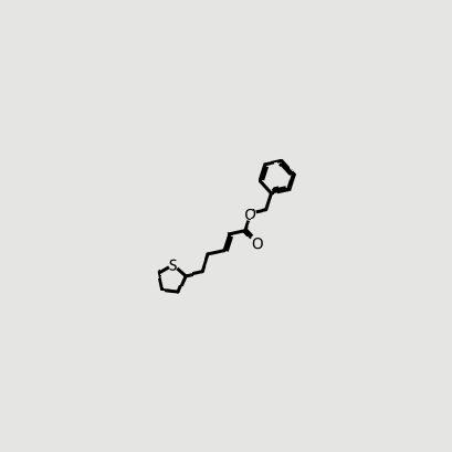 O=C(/C=C/CCC1CCCS1)OCc1ccccc1